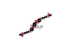 C=CC(=O)OCCCCCCOc1ccc(OC(=O)c2ccc(C(=O)Oc3ccc(OCCCCCCOC(=O)C=C)cc3)c(C(=O)O)c2)cc1